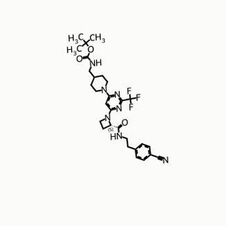 CC(C)(C)OC(=O)NCC1CCN(c2cc(N3CC[C@H]3C(=O)NCCc3ccc(C#N)cc3)nc(C(F)(F)F)n2)CC1